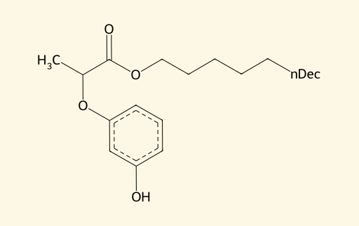 CCCCCCCCCCCCCCCOC(=O)C(C)Oc1cccc(O)c1